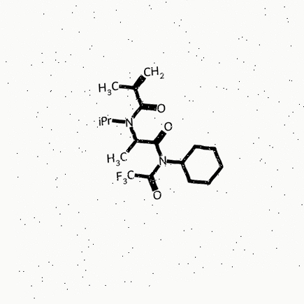 C=C(C)C(=O)N(C(C)C)C(C)C(=O)N(C(=O)C(F)(F)F)C1CCCCC1